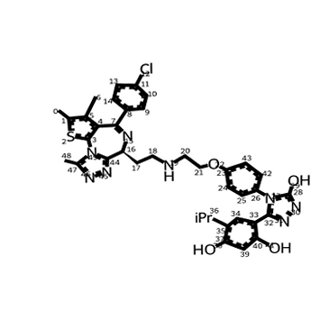 Cc1sc2c(c1C)C(c1ccc(Cl)cc1)=N[C@@H](CCNCCOc1ccc(-n3c(O)nnc3-c3cc(C(C)C)c(O)cc3O)cc1)c1nnc(C)n1-2